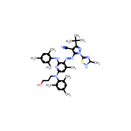 Cc1cc(C)c(Nc2nc(N(CCCO)c3c(C)cc(C)cc3C)cc(C)c2N=Nc2c(C#N)c(C(C)(C)C)nn2C2=NC(C)NS2)c(C)c1